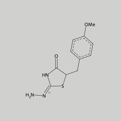 COc1ccc(CC2S/C(=N/N)NC2=O)cc1